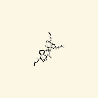 C=CCOC(=O)c1cccc(NC(=O)[C@@H]2C[C@H](SC(C)=O)CN2C(=O)OCC=C)c1C(=O)N(C)C